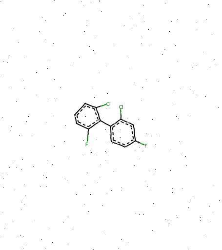 Fc1ccc(-c2c(Cl)[c]ccc2F)c(Cl)c1